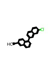 C#Cc1ccc2c(-c3ccc4ccc(Cl)cc4c3)[c]ccc2c1